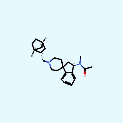 CC(=O)N(C)[C@@H]1CC2(CCN(C[C@H]3C[C@H]4CC[C@@H]3C4)CC2)c2ccccc21